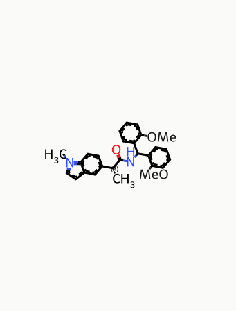 COc1ccccc1C(NC(=O)[C@H](C)c1ccc2c(ccn2C)c1)c1ccccc1OC